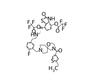 CCc1cc(C(=O)N2CCOC3(CCN(Cc4cc(CCNC[C@H](OC(=O)C(F)(F)F)c5ccc(OC(=O)C(F)(F)F)c6[nH]c(=O)sc56)ccc4F)CC3)C2)cs1